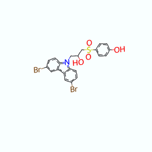 O=S(=O)(CC(O)Cn1c2ccc(Br)cc2c2cc(Br)ccc21)c1ccc(O)cc1